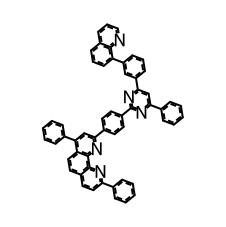 c1ccc(-c2cc(-c3cccc(-c4cccc5cccnc45)c3)nc(-c3ccc(-c4cc(-c5ccccc5)c5ccc6ccc(-c7ccccc7)nc6c5n4)cc3)n2)cc1